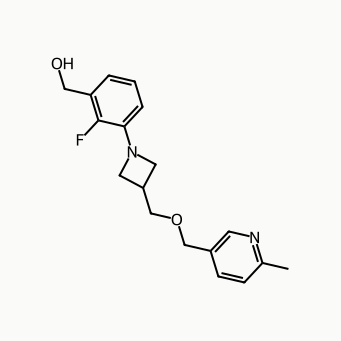 Cc1ccc(COCC2CN(c3cccc(CO)c3F)C2)cn1